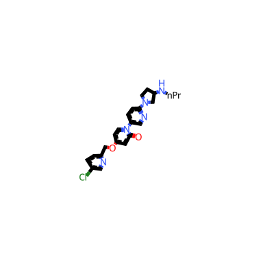 CCCNC1CCN(c2ccc(-n3ccc(OCc4ccc(Cl)cn4)cc3=O)cn2)C1